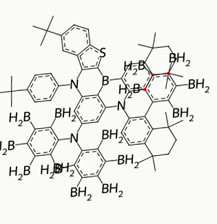 Bc1c(B)c(B)c(-c2c(N3c4cc5c(cc4B4c6sc7ccc(C(C)(C)C)cc7c6N(c6ccc(C(C)(C)C)cc6)c6cc(N(c7c(B)c(B)c(B)c(B)c7B)c7c(B)c(B)c(B)c(B)c7B)cc3c64)C(C)(C)CCC5(C)C)ccc3c2C(C)(C)CCC3(C)C)c(B)c1B